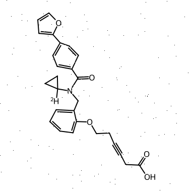 [2H]C1(N(Cc2ccccc2OCCC#CCC(=O)O)C(=O)c2ccc(-c3ccco3)cc2)CC1